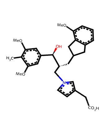 COc1cc([C@@H](O)[C@H](CC2Cc3cccc(OC)c3C2)Cn2ccc(CC(=O)O)c2)cc(OC)c1C